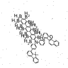 Bc1c(B)c(B)c(-c2c(B)c(B)c(-c3c(B)c(B)c(N(c4ccc(-c5cccc6c5C(C)(C)c5ccccc5-6)cc4)c4cccc(-c5cccc6oc7c8ccccc8ccc7c56)c4)c(B)c3B)c(B)c2B)c(B)c1B